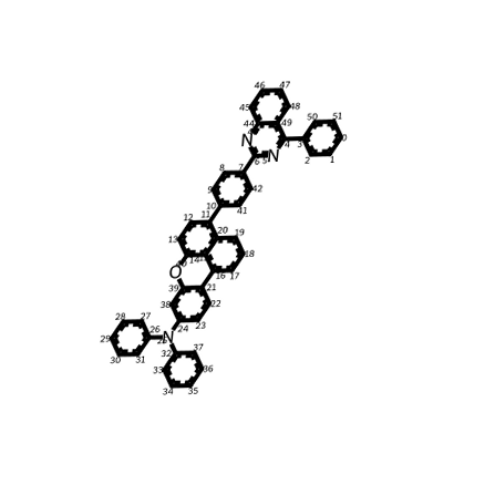 c1ccc(-c2nc(-c3ccc(-c4ccc5c6c(cccc46)-c4ccc(N(c6ccccc6)c6ccccc6)cc4O5)cc3)nc3ccccc23)cc1